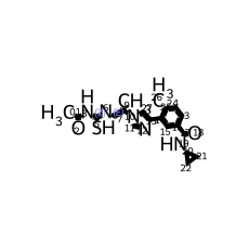 CC(=O)N/C(S)=N/C=C(\C)n1cnc(-c2cc(C(=O)NC3CC3)ccc2C)c1